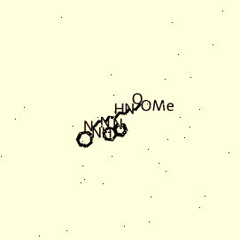 COC(=O)CNCCCCN(Cc1nc2c([nH]1)CC=CC=C2)C1CCCc2cccnc21